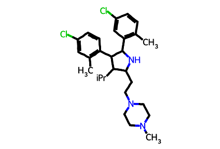 Cc1ccc(Cl)cc1C1NC(CCN2CCN(C)CC2)C(C(C)C)C1c1ccc(Cl)cc1C